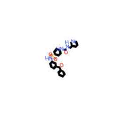 O=C(NCc1cccnc1)Nc1ccc(S(=O)(=O)Nc2cccc(C(=O)c3ccccc3)c2)cc1